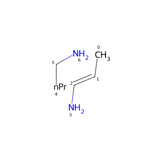 CC=CN.CCCCN